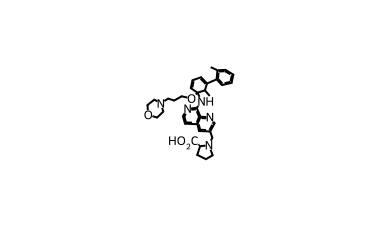 Cc1ccccc1C1=CC=CC(Nc2nccc3cc(CN4CCC[C@H]4C(=O)O)cnc23)(OCCCN2CCOCC2)C1C